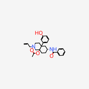 C=CCN1CCC2(c3cccc(O)c3)C[C@H](NC(=O)c3ccccc3)CCC2(OC(C)=O)C1